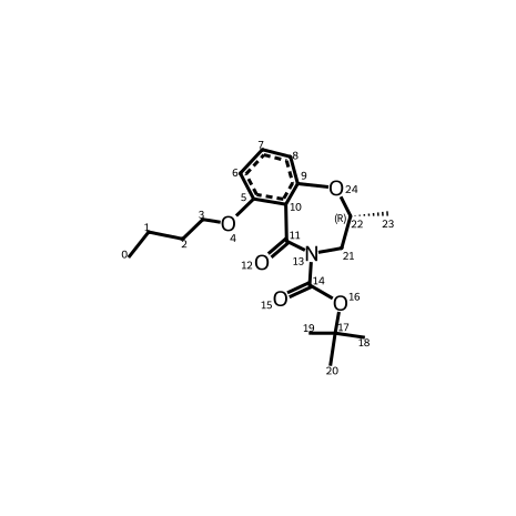 CCCCOc1cccc2c1C(=O)N(C(=O)OC(C)(C)C)C[C@@H](C)O2